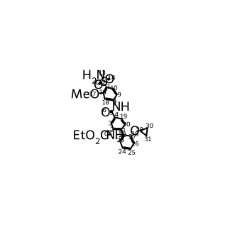 CCOC(=O)Nc1cc(C(=O)Nc2ccc(S(N)(=O)=O)c(OC)c2)ccc1-c1ccccc1OC1CC1